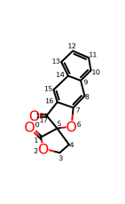 O=C1OCCC12Oc1cc3ccccc3cc1C2=O